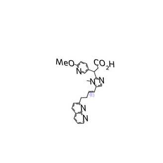 COc1ccc(C(CC(=O)O)c2ncc(/C=C/CCc3ccc4cccnc4n3)n2C)cn1